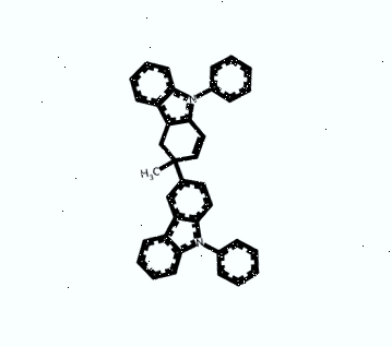 CC1(c2ccc3c(c2)c2ccccc2n3-c2ccccc2)C=Cc2c(c3ccccc3n2-c2ccccc2)C1